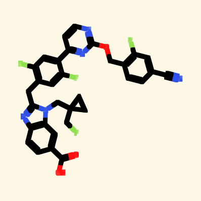 N#Cc1ccc(COc2nccc(-c3cc(F)c(Cc4nc5ccc(C(=O)O)cc5n4CC4(CF)CC4)cc3F)n2)c(F)c1